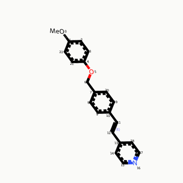 COc1ccc(OCc2ccc(/C=C/c3ccncc3)cc2)cc1